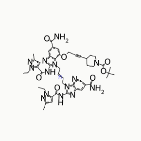 CCn1nc(C)cc1C(=O)Nc1nc2cc(C(N)=O)cnc2n1C/C=C/Cn1c(NC(=O)c2cc(C)nn2CC)nc2cc(C(N)=O)cc(OCC#CC3CCN(C(=O)OC(C)(C)C)CC3)c21